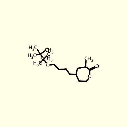 CC1CC(CCCCO[Si](C)(C)C(C)(C)C)CCOC1=O